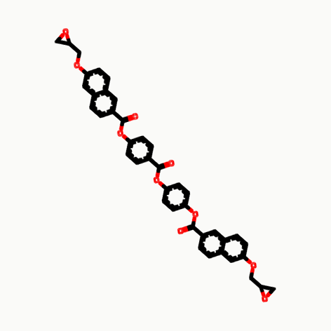 O=C(Oc1ccc(OC(=O)c2ccc3cc(OCC4CO4)ccc3c2)cc1)c1ccc(OC(=O)c2ccc3cc(OCC4CO4)ccc3c2)cc1